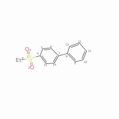 CCS(=O)(=O)c1ccc(-c2ccccc2)cc1